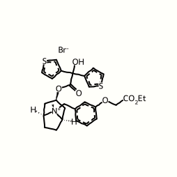 CCOC(=O)COc1cccc(C[N@+]2(C)[C@@H]3CC[C@H]2C[C@@H](OC(=O)C(O)(c2ccsc2)c2ccsc2)C3)c1.[Br-]